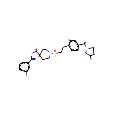 Cc1cc(C(=O)N2CCC(N)C2)ccc1CCS(=O)(=O)N1CCC2(CC1)N=C(c1cccc(C(F)(F)F)c1)NC2=O